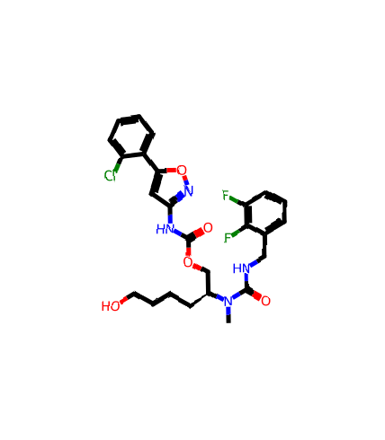 CN(C(=O)NCc1cccc(F)c1F)[C@@H](CCCCO)COC(=O)Nc1cc(-c2ccccc2Cl)on1